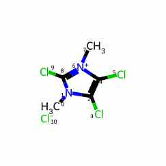 Cn1c(Cl)c(Cl)[n+](C)c1Cl.[Cl-]